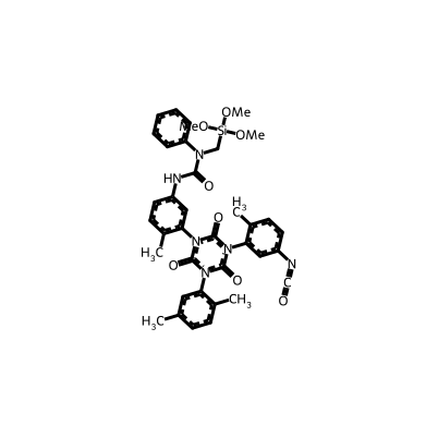 CO[Si](CN(C(=O)Nc1ccc(C)c(-n2c(=O)n(-c3cc(C)ccc3C)c(=O)n(-c3cc(N=C=O)ccc3C)c2=O)c1)c1ccccc1)(OC)OC